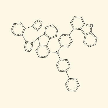 c1ccc(-c2ccc(N(c3ccc(-c4cccc5oc6ccccc6c45)cc3)c3cccc4c3-c3ccccc3C43c4ccccc4-c4ccccc4-c4ccccc43)cc2)cc1